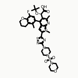 Cc1nc2c(cc(-c3nc(N4CCN(S(=O)(=O)N5CCOCC5)CC4)ns3)n2C)c(-c2cc(F)c3c(c2C)CCCO3)c1[C@H](OC(C)(C)C)C(=O)O